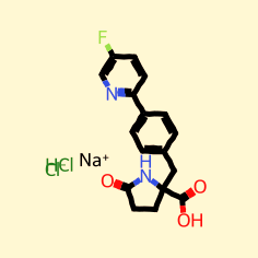 Cl.O=C1CCC(Cc2ccc(-c3ccc(F)cn3)cc2)(C(=O)O)N1.[Cl-].[Na+]